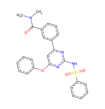 CN(C)C(=O)c1cccc(-c2cc(Oc3ccccc3)nc(NS(=O)(=O)c3ccccc3)n2)c1